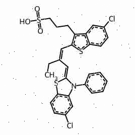 CCC(=Cc1sc2ccc(Cl)cc2c1CCCS(=O)(=O)O)C=C1Sc2ccc(Cl)cc2N1c1ccccc1